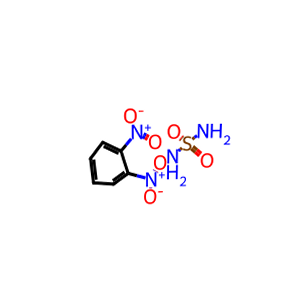 NS(N)(=O)=O.O=[N+]([O-])c1ccccc1[N+](=O)[O-]